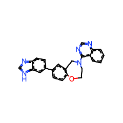 c1ccc2c(N3CCOc4ccc(-c5ccc6nc[nH]c6c5)cc4C3)ncnc2c1